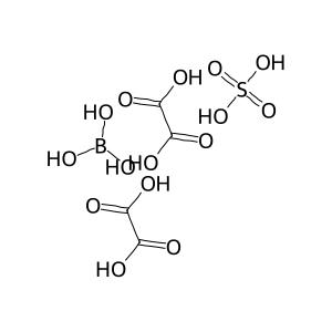 O=C(O)C(=O)O.O=C(O)C(=O)O.O=S(=O)(O)O.OB(O)O